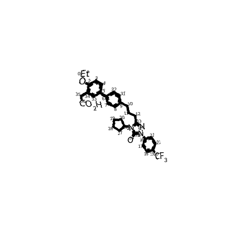 CCOc1ccc(-c2ccc(CCCc3nn(-c4ccc(C(F)(F)F)cc4)c(=O)n3C3CCCC3)cc2)cc1CC(=O)O